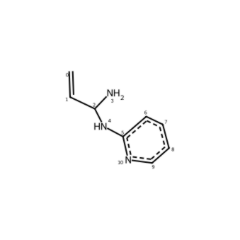 C=CC(N)Nc1ccccn1